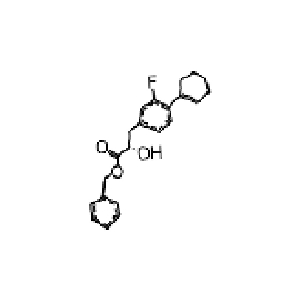 O=C(OCc1ccccc1)[C@@H](O)Cc1ccc(C2=CCCCC2)c(F)c1